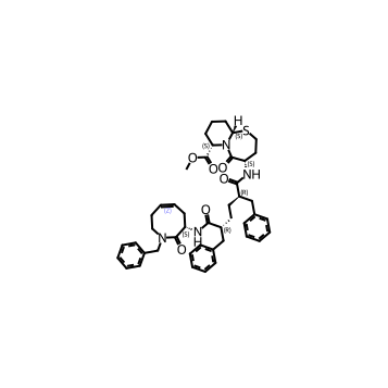 COC(=O)[C@@H]1CCC[C@@H]2SCC[C@H](NC(=O)[C@H](CC[C@H](Cc3ccccc3)C(=O)N[C@H]3C/C=C\CCN(Cc4ccccc4)C3=O)Cc3ccccc3)C(=O)N21